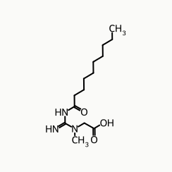 CCCCCCCCCC(=O)NC(=N)N(C)CC(=O)O